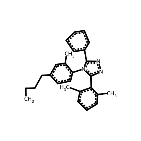 CCCCc1ccc(-n2c(-c3ccccc3)nnc2-c2c(C)cccc2C)c(C)c1